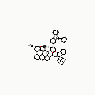 CC(C)(C)c1cc(-c2cccc3cccc(-c4ccccc4N(c4cccc(-c5ccc6c7ccccc7n(-c7ccccc7)c6c5)c4)c4ccccc4-c4ccc5c(c4)C4(c6ccccc6-5)C5CC6CC7CC4C675)c23)cc(C(C)(C)C)c1